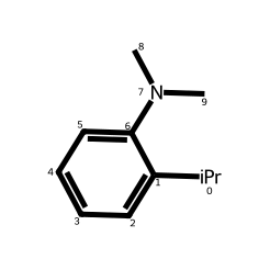 CC(C)c1ccccc1N(C)C